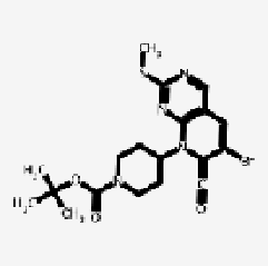 CSc1ncc2c(n1)N(C1CCN(C(=O)OC(C)(C)C)CC1)C(=C=O)C(Br)=C2